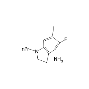 CCCN1CCc2cc(F)c(I)cc21.N